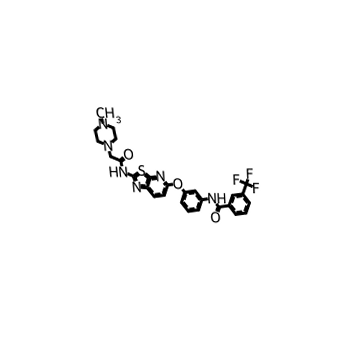 CN1CCN(CC(=O)Nc2nc3ccc(Oc4cccc(NC(=O)c5cccc(C(F)(F)F)c5)c4)nc3s2)CC1